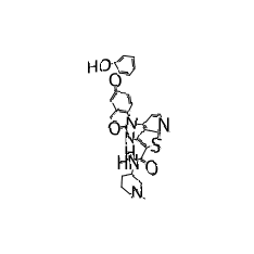 Cc1cc(Oc2ccccc2O)ccc1N1C(=O)Nc2c(C(=O)NC3CCCN(C)C3)sc3nccc1c23